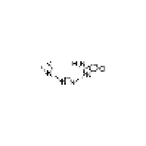 Nc1cc(CCCN2CCN(CCCN(CC3CC3)CC3CC3)CC2)nc2cc(Cl)ccc12